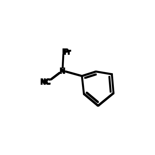 CC(C)N(C#N)c1ccccc1